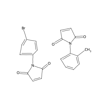 Cc1ccccc1N1C(=O)C=CC1=O.O=C1C=CC(=O)N1c1ccc(Br)cc1